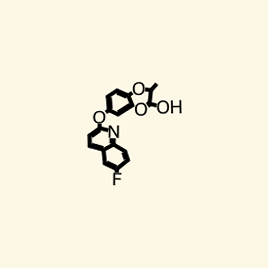 CC(Oc1ccc(Oc2ccc3cc(F)ccc3n2)cc1)C(=O)O